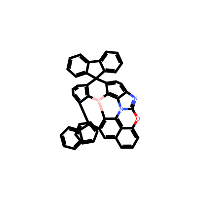 c1ccc2c(c1)-c1ccccc1C21c2cccc3c2B2c4c1ccc1nc5oc6cccc7cc(c2c(c76)n5c41)C31c2ccccc2-c2ccccc21